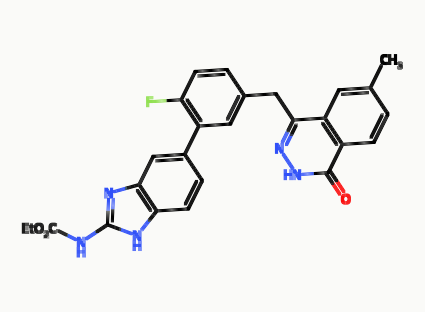 CCOC(=O)Nc1nc2cc(-c3cc(Cc4n[nH]c(=O)c5ccc(C)cc45)ccc3F)ccc2[nH]1